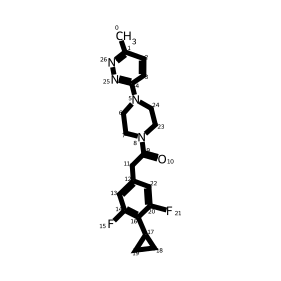 Cc1ccc(N2CCN(C(=O)Cc3cc(F)c(C4CC4)c(F)c3)CC2)nn1